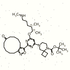 CNCCC[C@H](C)[C@H](C)Oc1cc(N2CCN(C(=O)OC(C)(C)C)C3(CCC3)C2)nc(-c2onc3c2CCCCC(=O)CCCCC3)n1